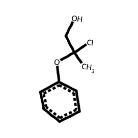 CC(Cl)(CO)Oc1ccccc1